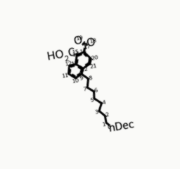 CCCCCCCCCCCCCCCCCCc1cccc2c(C(=O)O)c(I(=O)=O)ccc12